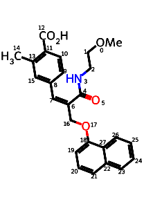 COCCNC(=O)C(=Cc1ccc(C(=O)O)c(C)c1)COc1cccc2ccccc12